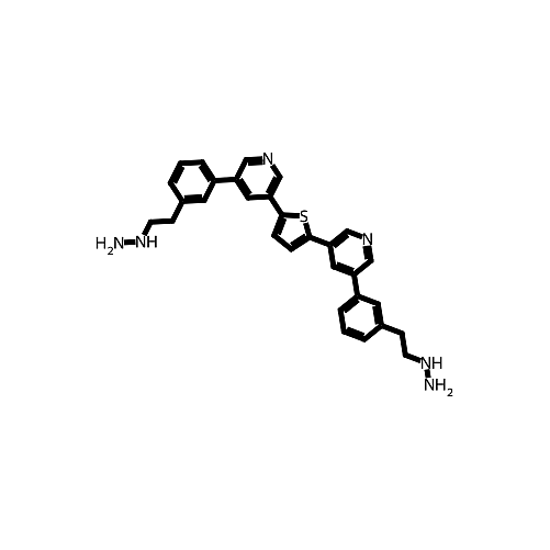 NNCCc1cccc(-c2cncc(-c3ccc(-c4cncc(-c5cccc(CCNN)c5)c4)s3)c2)c1